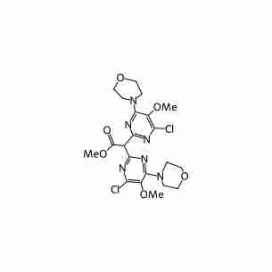 COC(=O)C(c1nc(Cl)c(OC)c(N2CCOCC2)n1)c1nc(Cl)c(OC)c(N2CCOCC2)n1